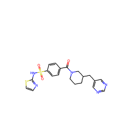 O=C(c1ccc(S(=O)(=O)Nc2nccs2)cc1)N1CCCC(Cc2cncnc2)C1